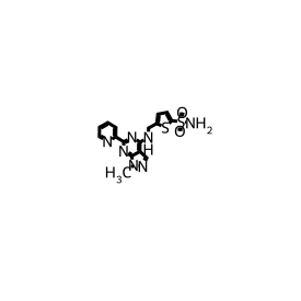 Cn1ncc2c(NCc3ccc(S(N)(=O)=O)s3)nc(-c3ccccn3)nc21